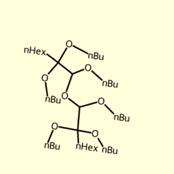 CCCCCCC(OCCCC)(OCCCC)C(OCCCC)OC(OCCCC)C(CCCCCC)(OCCCC)OCCCC